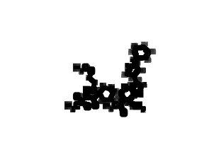 COCCO[C@]1(C(=O)NS(C)(=O)=O)CC[C@H](c2nc3c(-c4cnn(-c5ccccc5)c4)cnn3c(N)c2C(C)=O)CC1